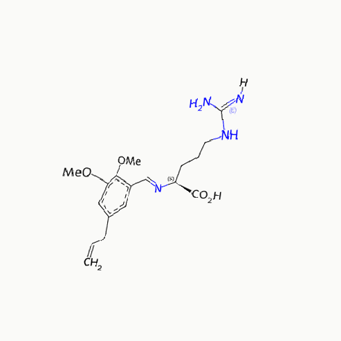 [H]/N=C(\N)NCCC[C@H](N=Cc1cc(CC=C)cc(OC)c1OC)C(=O)O